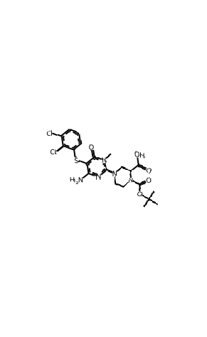 Cn1c(N2CCN(C(=O)OC(C)(C)C)C(C(=O)O)C2)nc(N)c(Sc2cccc(Cl)c2Cl)c1=O